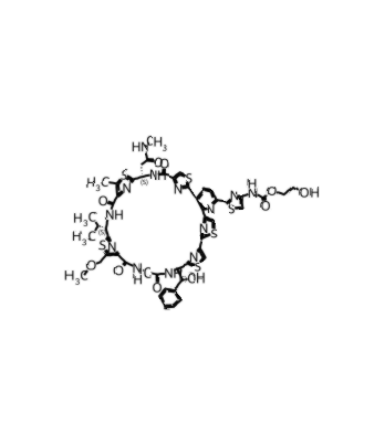 CNC(=O)C[C@@H]1NC(=O)c2csc(n2)-c2ccc(-c3nc(NC(=O)OCCO)cs3)nc2-c2csc(n2)-c2csc(n2)[C@H]([C@@H](O)c2ccccc2)NC(=O)CNC(=O)c2nc(sc2COC)[C@H](C(C)C)NC(=O)c2nc1sc2C